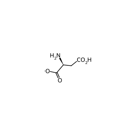 N[C@@H](CC(=O)O)C([O])=O